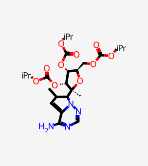 CC(C)OC(=O)OC[C@H]1O[C@@](C)(C2C(C)C=C3C(N)=NC=NN32)[C@H](OC(=O)OC(C)C)[C@@H]1OC(=O)OC(C)C